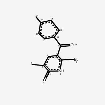 CCc1[nH]c(=O)c(C)cc1C(=O)c1ccc(C)cc1